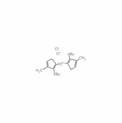 CCCCC1=[C]([Hf+2][C]2=C(CCCC)C(C)=CC2)CC=C1C.[Cl-].[Cl-]